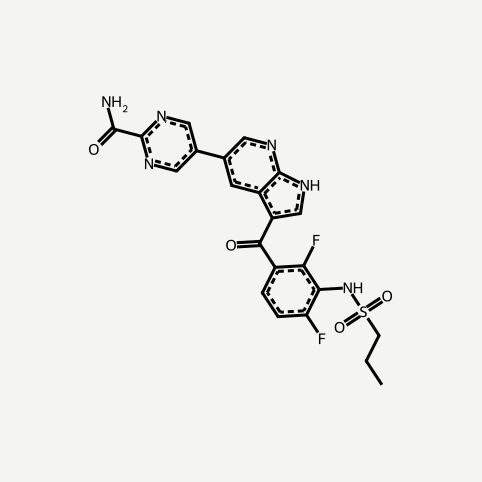 CCCS(=O)(=O)Nc1c(F)ccc(C(=O)c2c[nH]c3ncc(-c4cnc(C(N)=O)nc4)cc23)c1F